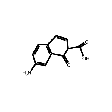 Nc1ccc2c(c1)C(=O)C(C(=O)O)C=C2